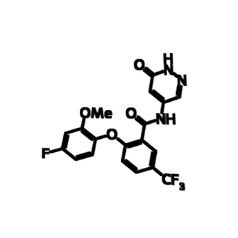 COc1cc(F)ccc1Oc1ccc(C(F)(F)F)cc1C(=O)Nc1cn[nH]c(=O)c1